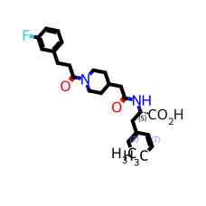 C/C=C\C(=C/C)C[C@H](NC(=O)CC1CCN(C(=O)CCc2cccc(F)c2)CC1)C(=O)O